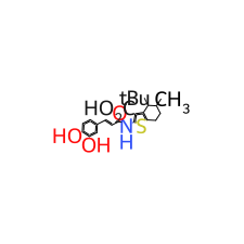 CC1CCc2sc(NC(=O)C=Cc3ccc(O)c(O)c3)c(C(=O)O)c2C1C(C)(C)C